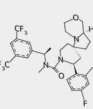 Cc1cc(F)ccc1[C@@H]1C[C@]2(CC[C@@H]3COCCN32)CCN1C(=O)N(C)[C@H](C)c1cc(C(F)(F)F)cc(C(F)(F)F)c1